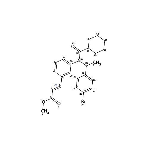 COC(=O)/C=C/c1cccc(N(C(=O)C2CCCCC2)C(C)c2ccc(Br)cc2)c1